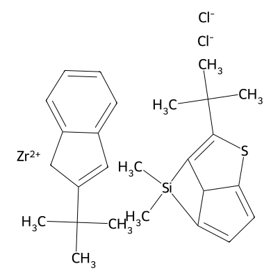 CC(C)(C)C1=C2C3C(=CC=C3[Si]2(C)C)S1.CC(C)(C)C1=Cc2ccccc2C1.[Cl-].[Cl-].[Zr+2]